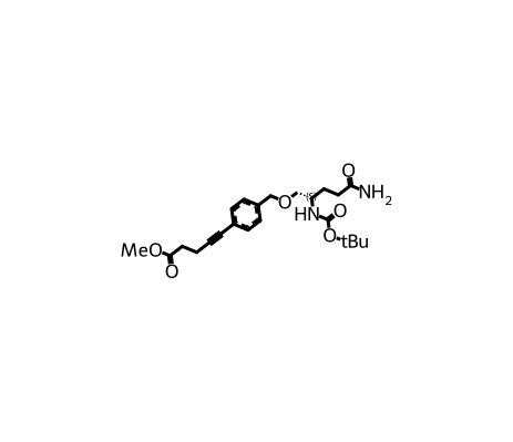 COC(=O)CCC#Cc1ccc(COC[C@H](CCC(N)=O)NC(=O)OC(C)(C)C)cc1